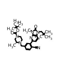 C[C@@H]1CN(C(=O)OC(C)(C)C)CCN1Cc1ccc(C#N)c(-c2ccc3c(n2)n(C)c(=O)n3CC(C)(C)C)c1